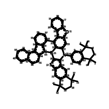 CC1(C)CCC(C)(C)c2cc(N3c4cc5oc6ccccc6c5c5c4B(c4sc6cc7c(cc6c43)C(C)(C)CCC7(C)C)n3c4ccc6ccccc6c4c4cccc-5c43)ccc21